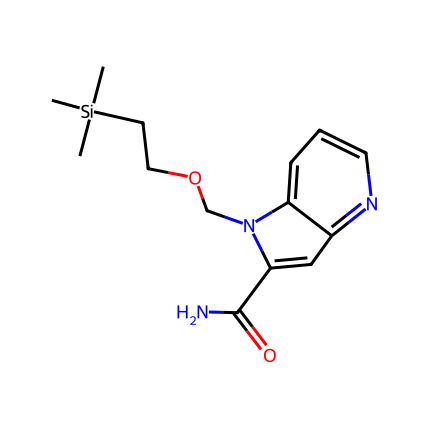 C[Si](C)(C)CCOCn1c(C(N)=O)cc2ncccc21